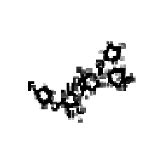 Nc1c(Oc2ccc(F)cc2)ncn(C[C@]2(O)CCN(C(=O)[C@@H]3CCC(F)(F)C[C@H]3c3ccccc3)CC2(F)F)c1=O